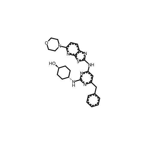 O[C@H]1CC[C@H](Nc2nc(Cc3ccccc3)cc(Nc3nc4ccc(N5CCOCC5)nc4s3)n2)CC1